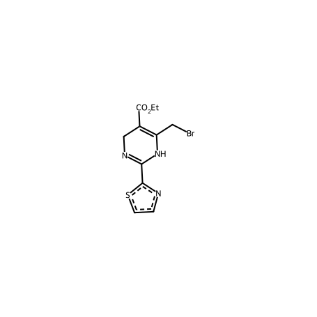 CCOC(=O)C1=C(CBr)NC(c2nccs2)=NC1